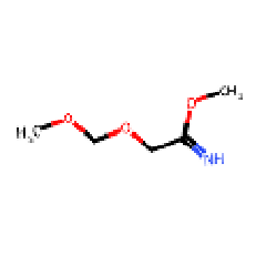 COCOCC(=N)OC